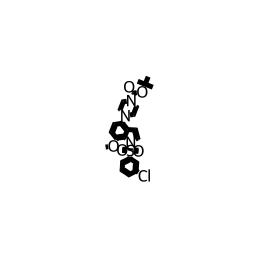 COc1ccc(N2CCN(C(=O)OC(C)(C)C)CC2)c2ccn(S(=O)(=O)c3cccc(Cl)c3)c12